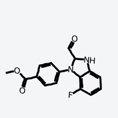 COC(=O)c1ccc(N2c3c(F)cccc3NC2C=O)cc1